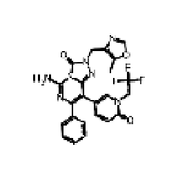 Cc1ocnc1Cn1nc2c(-c3ccc(=O)n(CC(F)(F)F)c3)c(-c3ccccc3)nc(N)n2c1=O